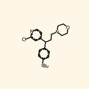 CC(C)(C)c1ccc(C(C[CH]N2CCOCC2)c2ccnc(Cl)c2)cc1